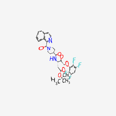 CC(C)(C)OC(=O)C[C@H](NC(=O)C1CCN(C(=O)c2nccc3ccccc23)CC1)C(=O)COc1c(F)c(F)cc(F)c1F